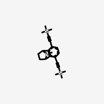 CN1C2CCC1c1c(C#C[Si](C)(C)C)ccc(C#C[Si](C)(C)C)c12